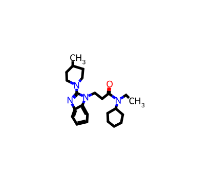 CCN(C(=O)CCn1c(N2CCC(C)CC2)nc2ccccc21)C1CCCCC1